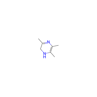 CC1=NC(C)=C(C)NC1